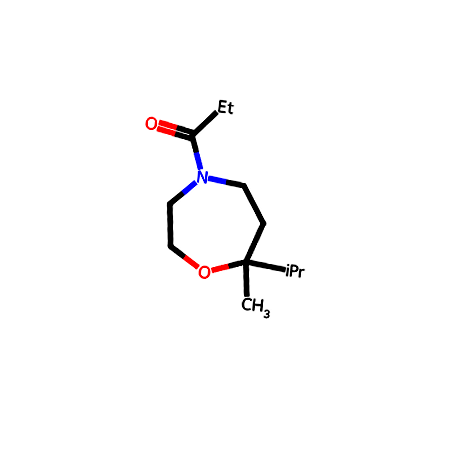 CCC(=O)N1CCOC(C)(C(C)C)CC1